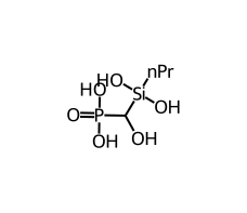 CCC[Si](O)(O)C(O)P(=O)(O)O